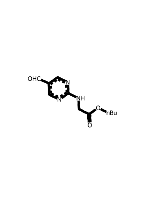 CCCCOC(=O)CNc1ncc(C=O)cn1